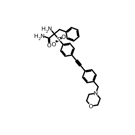 NC(=O)C(N)(Cc1ccccc1)S(=O)(=O)c1ccc(C#Cc2ccc(CN3CCOCC3)cc2)cc1